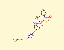 CC(C)c1ccccc1N1C(=O)CS/C1=N\C(=O)Nc1ccc(-c2ncn(CCCCC(F)(F)F)n2)cc1